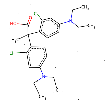 CCN(CC)c1ccc(C(C)(C(=O)O)c2ccc(N(CC)CC)cc2Cl)c(Cl)c1